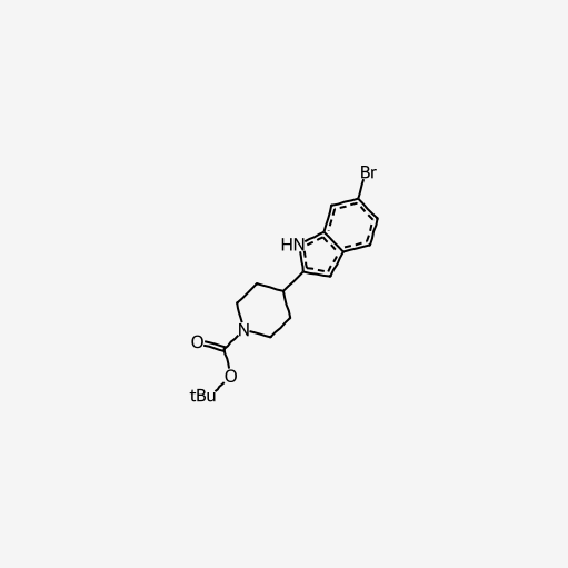 CC(C)(C)OC(=O)N1CCC(c2cc3ccc(Br)cc3[nH]2)CC1